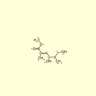 COC(=O)C(C)=CC(O)C(C)CO